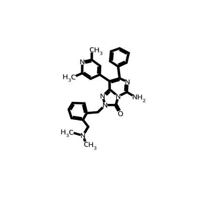 Cc1cc(-c2c(-c3ccccc3)nc(N)n3c(=O)n(Cc4ccccc4CN(C)C)nc23)cc(C)n1